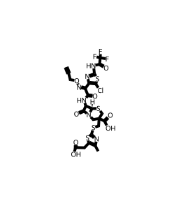 C#CCON=C(C(=O)NC1C(=O)N2CC(CSc3nc(C)c(CC(=O)O)s3)(C(=O)O)CS[C@H]12)c1nc(NC(=O)C(F)(F)F)sc1Cl